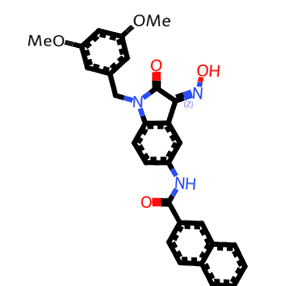 COc1cc(CN2C(=O)/C(=N\O)c3cc(NC(=O)c4ccc5ccccc5c4)ccc32)cc(OC)c1